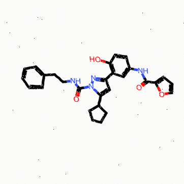 O=C(Nc1ccc(O)c(-c2cc(C3CCCC3)n(C(=O)NCCc3ccccc3)n2)c1)c1ccco1